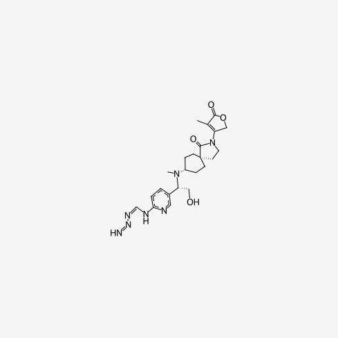 CC1=C(N2CC[C@]3(CC[C@@H](N(C)[C@H](CO)c4ccc(N/C=N\N=N)nc4)CC3)C2=O)COC1=O